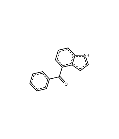 O=C(c1ccccc1)c1cccc2[nH]ccc12